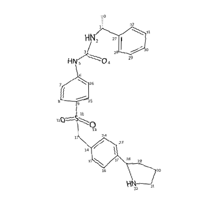 C[C@@H](NC(=O)Nc1ccc(S(=O)(=O)Cc2ccc(C3CCCN3)cc2)cc1)c1ccccc1